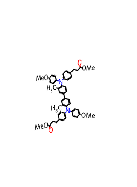 COC(=O)CCc1ccc(N(c2ccc(OC)cc2)c2ccc(-c3ccc(N(c4ccc(CCC(=O)OC)cc4)c4ccc(OC)cc4)c(C)c3)cc2C)cc1